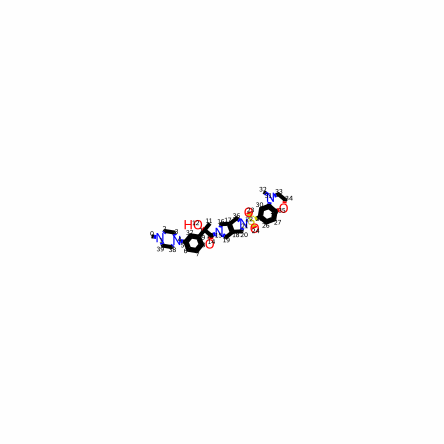 CN1CCN(c2cccc(C(C)(O)C(=O)N3CC4=C(C3)CN(S(=O)(=O)c3ccc5c(c3)N(C)CCO5)C4)c2)CC1